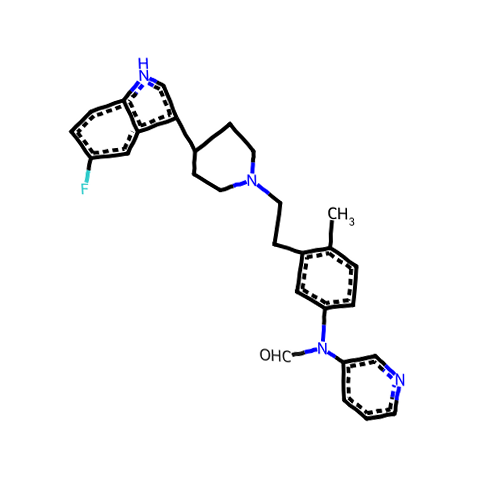 Cc1ccc(N(C=O)c2cccnc2)cc1CCN1CCC(c2c[nH]c3ccc(F)cc23)CC1